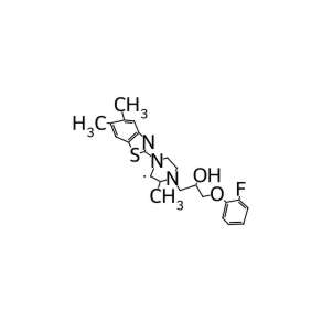 Cc1cc2nc(N3[CH]C(C)N(CC(O)COc4ccccc4F)CC3)sc2cc1C